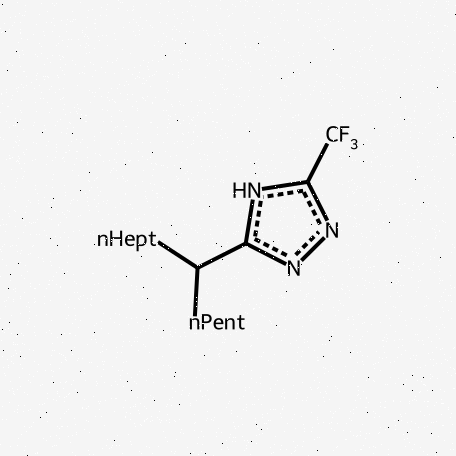 CCCCCCCC(CCCCC)c1nnc(C(F)(F)F)[nH]1